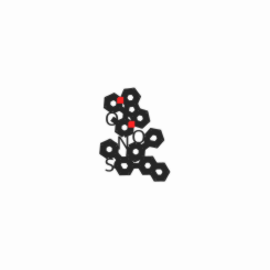 c1ccc2c(c1)Oc1cc(N(c3cccc4c3oc3ccccc34)c3cccc4sc5ccc(-c6ccc7ccccc7c6)cc5c34)ccc1C21c2ccccc2-c2ccccc21